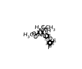 COC(=O)c1cnc(NC(C)C)c(N2CCC(Oc3ccc(F)cc3F)CC2)n1